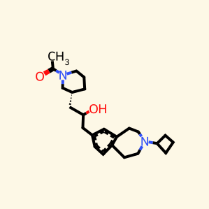 CC(=O)N1CCC[C@H](CC(O)Cc2ccc3c(c2)CCN(C2CCC2)CC3)C1